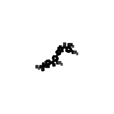 Cc1ccc(Nc2ncc3c(n2)CN([C@H]2CCN(C(=O)c4ccnc(NS(C)(=O)=O)c4)[C@H](C)C2)C3)c(C)c1